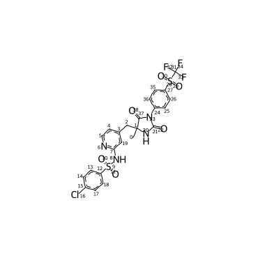 CC1(Cc2ccnc(NS(=O)(=O)c3ccc(Cl)cc3)c2)NC(=O)N(c2ccc(S(=O)(=O)C(F)(F)F)cc2)C1=O